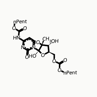 CCCCCOC(=O)Nc1ccn([C@]2(O)O[C@H](COC(=O)OCCCCC)[C@@H](O)[C@@]2(C)O)c(=O)n1